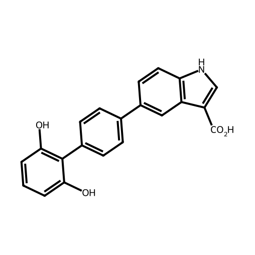 O=C(O)c1c[nH]c2ccc(-c3ccc(-c4c(O)cccc4O)cc3)cc12